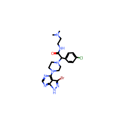 CN(C)CCNC(=O)C(c1ccc(Cl)cc1)N1CCN(c2ncnc3[nH]nc(Br)c23)CC1